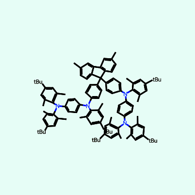 Cc1ccc2c(c1)-c1cc(C)ccc1C2(c1ccc(N(c2ccc(N(c3c(C)cc(C(C)(C)C)cc3C)c3c(C)cc(C(C)(C)C)cc3C)cc2)c2c(C)cc(C(C)(C)C)cc2C)cc1)c1ccc(N(c2ccc(N(c3c(C)cc(C(C)(C)C)cc3C)c3c(C)cc(C(C)(C)C)cc3C)cc2)c2c(C)cc(C(C)(C)C)cc2C)cc1